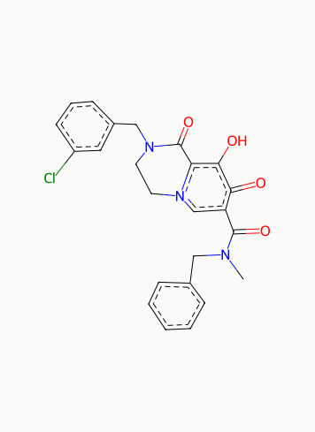 CN(Cc1ccccc1)C(=O)c1cn2c(c(O)c1=O)C(=O)N(Cc1cccc(Cl)c1)CC2